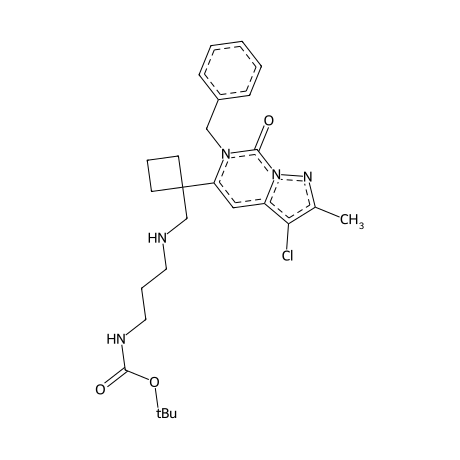 Cc1nn2c(=O)n(Cc3ccccc3)c(C3(CNCCCNC(=O)OC(C)(C)C)CCC3)cc2c1Cl